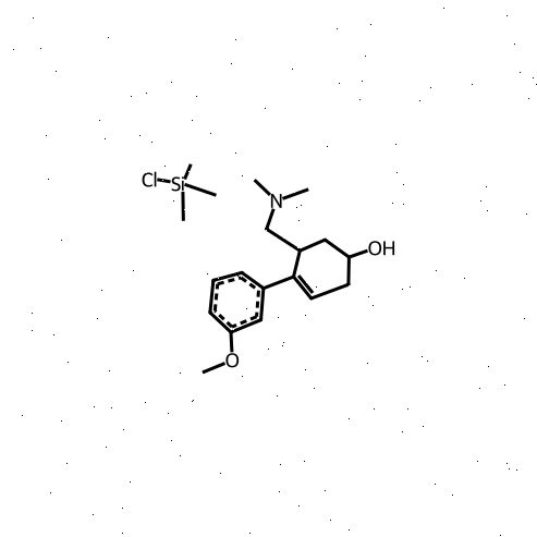 COc1cccc(C2=CCC(O)CC2CN(C)C)c1.C[Si](C)(C)Cl